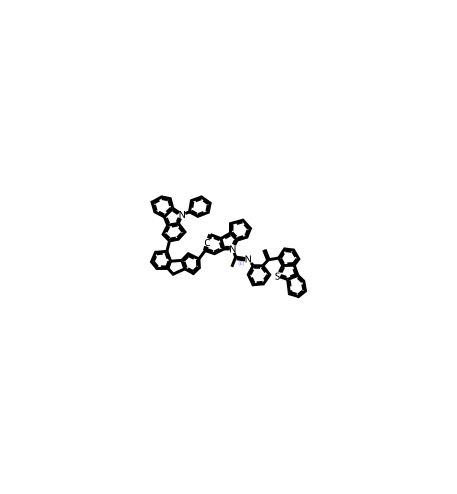 C=C(c1ccccc1/N=C(\C)n1c2ccccc2c2ccc(-c3ccc4c(c3)-c3c(cccc3-c3ccc5c(c3)c3ccccc3n5-c3ccccc3)C4)cc21)c1cccc2c1sc1ccccc12